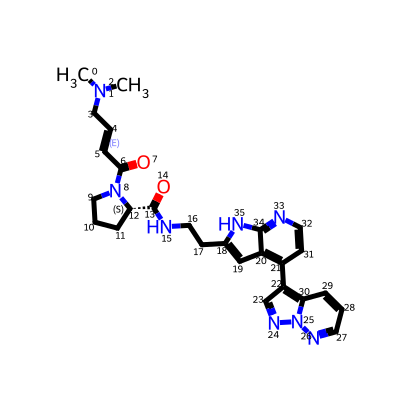 CN(C)C/C=C/C(=O)N1CCC[C@H]1C(=O)NCCc1cc2c(-c3cnn4ncccc34)ccnc2[nH]1